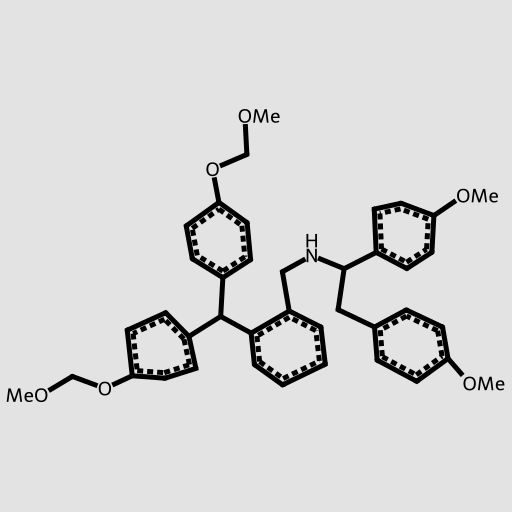 COCOc1ccc(C(c2ccc(OCOC)cc2)c2ccccc2CNC(Cc2ccc(OC)cc2)c2ccc(OC)cc2)cc1